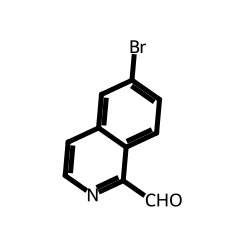 O=Cc1nccc2cc(Br)ccc12